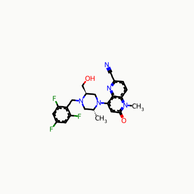 C[C@@H]1CN(Cc2c(F)cc(F)cc2F)[C@@H](CO)CN1c1cc(=O)n(C)c2ccc(C#N)nc12